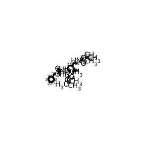 C[C@@H](NC(=O)OC(C)(C)C)[C@H](CNC(=O)OCc1ccccc1)CC(CCNC(=O)OC(C)(C)C)C1CC1